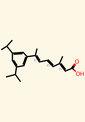 CC(/C=C/C=C(\C)c1cc(C(C)C)cc(C(C)C)c1)=C\C(=O)O